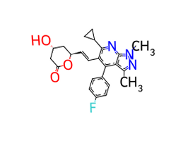 Cc1nn(C)c2nc(C3CC3)c(/C=C/[C@@H]3C[C@@H](O)CC(=O)O3)c(-c3ccc(F)cc3)c12